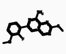 COc1cccc(-c2cc3cnc(SC)nc3c(N)n2)c1F